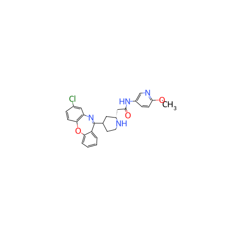 COc1ccc(NC(=O)C[C@H]2CC(C3=Nc4cc(Cl)ccc4Oc4ccccc43)CCN2)cn1